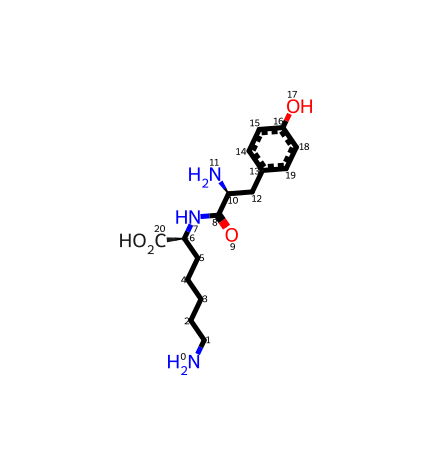 NCCCCC[C@H](NC(=O)[C@@H](N)Cc1ccc(O)cc1)C(=O)O